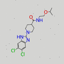 CC(C)OCCNC(=O)C1CCN(c2nc3cc(Cl)c(Cl)cc3[nH]2)CC1